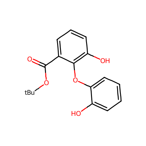 CC(C)(C)OC(=O)c1cccc(O)c1Oc1ccccc1O